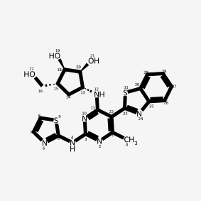 Cc1nc(Nc2nccs2)nc(N[C@@H]2C[C@H](CO)[C@@H](O)[C@H]2O)c1-c1nc2ccccc2s1